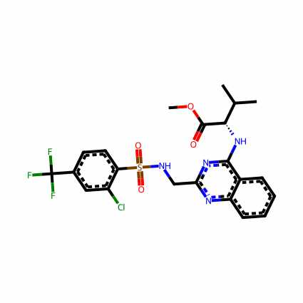 COC(=O)[C@@H](Nc1nc(CNS(=O)(=O)c2ccc(C(F)(F)F)cc2Cl)nc2ccccc12)C(C)C